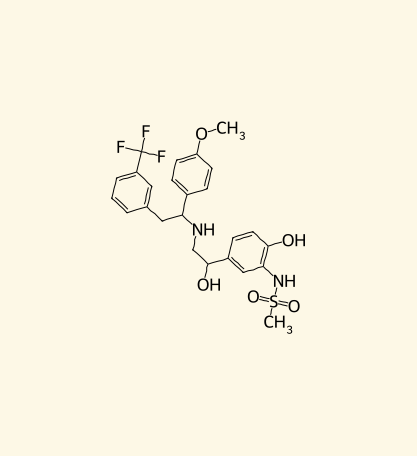 COc1ccc(C(Cc2cccc(C(F)(F)F)c2)NCC(O)c2ccc(O)c(NS(C)(=O)=O)c2)cc1